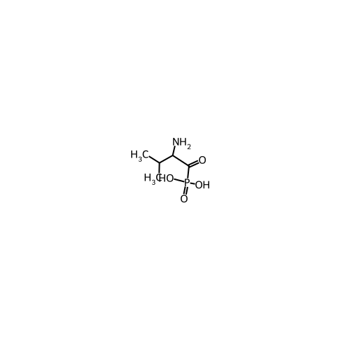 CC(C)C(N)C(=O)P(=O)(O)O